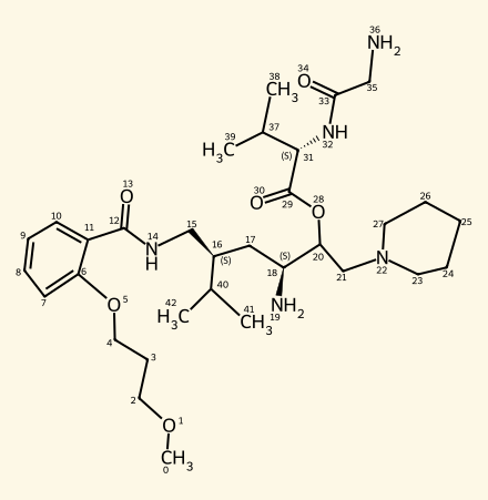 COCCCOc1ccccc1C(=O)NC[C@@H](C[C@H](N)C(CN1CCCCC1)OC(=O)[C@@H](NC(=O)CN)C(C)C)C(C)C